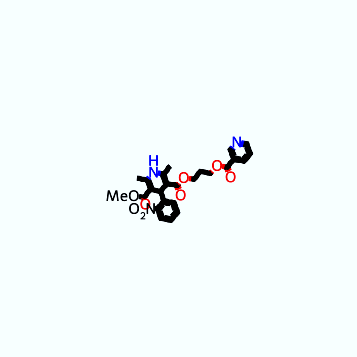 COC(=O)C1=C(C)NC(C)=C(C(=O)OCCCOC(=O)c2cccnc2)C1c1ccccc1[N+](=O)[O-]